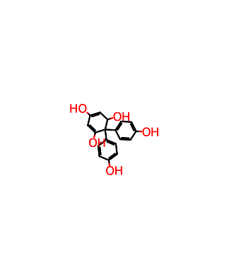 OC1=CC(O)C(c2ccc(O)cc2)(c2ccc(O)cc2)C(O)=C1